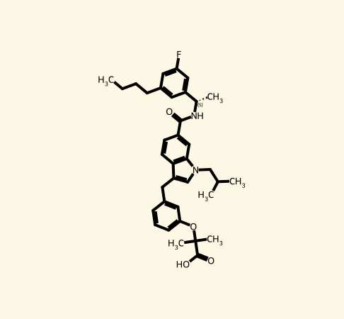 CCCCc1cc(F)cc([C@H](C)NC(=O)c2ccc3c(Cc4cccc(OC(C)(C)C(=O)O)c4)cn(CC(C)C)c3c2)c1